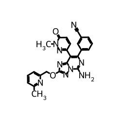 Cc1cccc(COc2nc3c(-c4ccc(=O)n(C)n4)c(-c4cccc(C#N)c4)nc(N)n3n2)n1